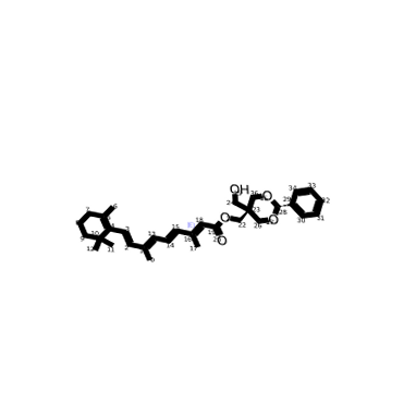 CC(C=CC1=C(C)CCCC1(C)C)=CC=C/C(C)=C/C(=O)OC[C@]1(CO)CO[C@@H](c2ccccc2)OC1